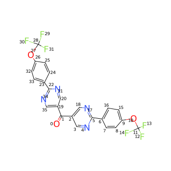 O=C(c1cnc(-c2ccc(OC(F)(F)F)cc2)nc1)c1cnc(-c2ccc(OC(F)(F)F)cc2)nc1